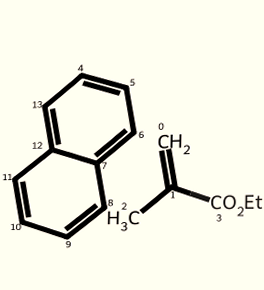 C=C(C)C(=O)OCC.c1ccc2ccccc2c1